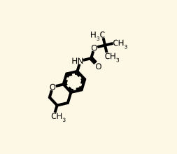 CC1COc2cc(NC(=O)OC(C)(C)C)ccc2C1